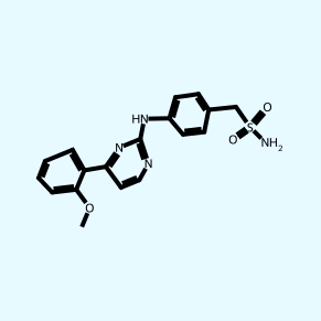 COc1ccccc1-c1ccnc(Nc2ccc(CS(N)(=O)=O)cc2)n1